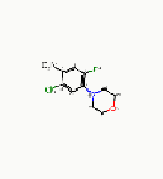 O=[N+]([O-])c1cc(F)c(N2CCOCC2)cc1Cl